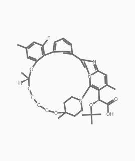 Cc1cc(F)c2c(c1)O[C@@H](C)CCCCOC1(C)CCN(CC1)c1c([C@H](OC(C)(C)C)C(=O)O)c(C)cc3nc(cn13)-c1cccc-2c1